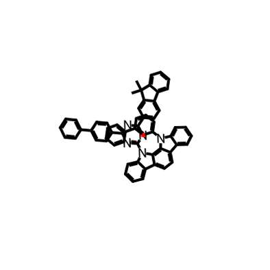 CC1(C)c2ccccc2-c2ccc(-c3nc(-c4ccc(-c5ccccc5)cc4)nc(-n4c5ccccc5c5ccc6c7ccccc7n(-c7cccc(-c8ccccc8)c7)c6c54)n3)cc21